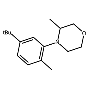 Cc1ccc(C(C)(C)C)cc1N1CCOCC1C